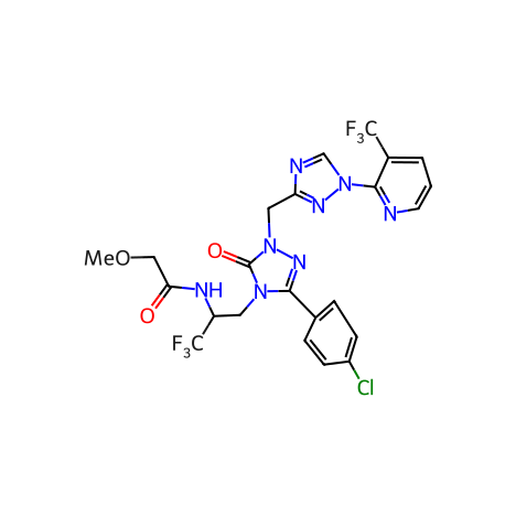 COCC(=O)NC(Cn1c(-c2ccc(Cl)cc2)nn(Cc2ncn(-c3ncccc3C(F)(F)F)n2)c1=O)C(F)(F)F